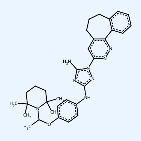 CC(Oc1ccc(Nc2nc(N)n(-c3cc4c(nn3)-c3ccccc3CCC4)n2)cc1)N1C(C)(C)CCCC1(C)C